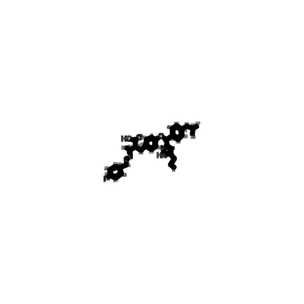 CCCc1cc(C(Oc2ccc(CC(C(=O)O)C(C)=NOCc3ccc(F)cc3)cc2)c2ccc(CC(C)C)cc2)n[nH]1